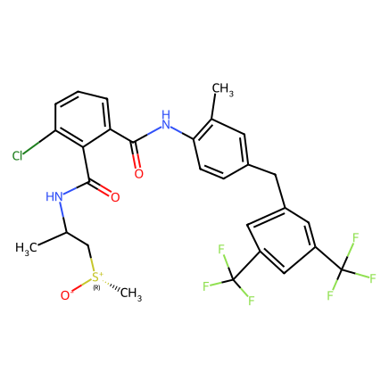 Cc1cc(Cc2cc(C(F)(F)F)cc(C(F)(F)F)c2)ccc1NC(=O)c1cccc(Cl)c1C(=O)NC(C)C[S@+](C)[O-]